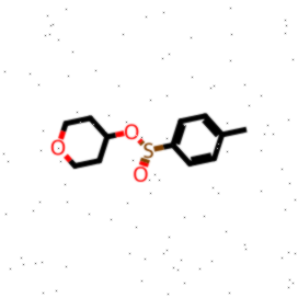 Cc1ccc(S(=O)OC2CCOCC2)cc1